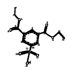 CCOC(=O)c1cc(C(=O)OCC)cc(S(=O)(=O)O)c1